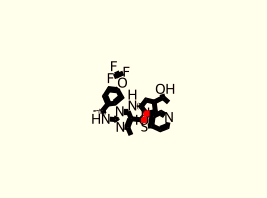 Cc1nc(N[C@H](C)c2ccc(OC(F)(F)F)cc2)nc(N[C@@H]2CC(C(C)O)C[C@H]2O)c1-c1nc2cnccc2s1